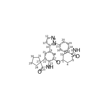 N=S1(=O)CCC(Oc2cc(-c3ccnn3-c3ccccc3)cc3c2NC(=O)C32CCCC2)CC1